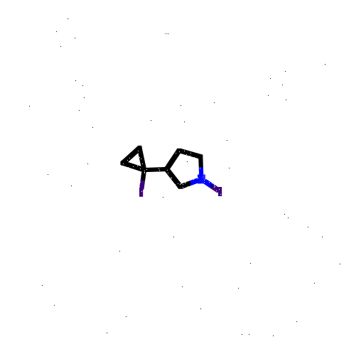 IN1CCC(C2(I)CC2)C1